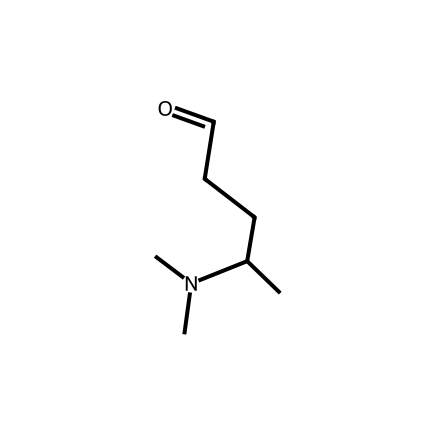 CC(CCC=O)N(C)C